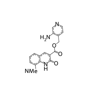 CNc1cccc2cc(C(=O)OCc3ccncc3N)c(=O)[nH]c12